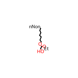 CCCCCCCCCCCCCCCCOC(CO)OCC